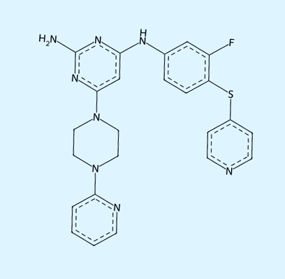 Nc1nc(Nc2ccc(Sc3ccncc3)c(F)c2)cc(N2CCN(c3ccccn3)CC2)n1